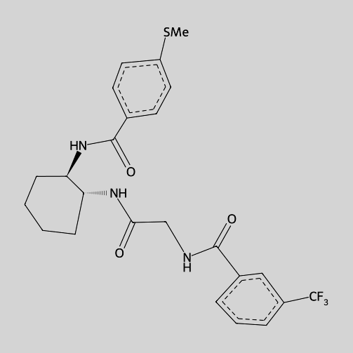 CSc1ccc(C(=O)N[C@@H]2CCCC[C@H]2NC(=O)CNC(=O)c2cccc(C(F)(F)F)c2)cc1